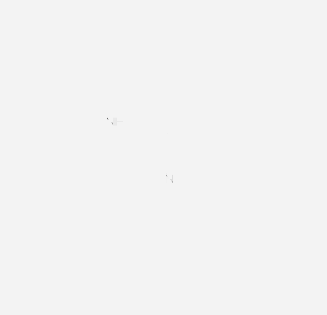 [NH]Cc1nc(Cl)cs1